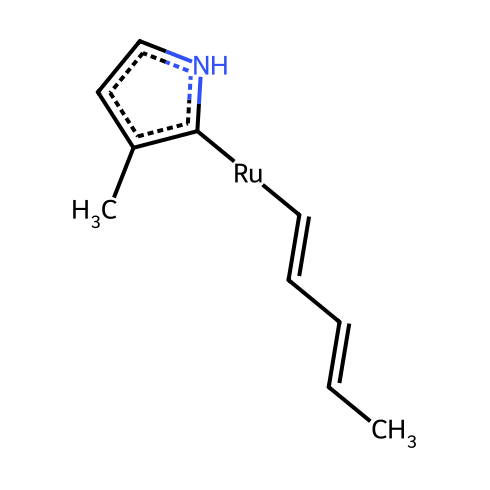 CC=CC=[CH][Ru][c]1[nH]ccc1C